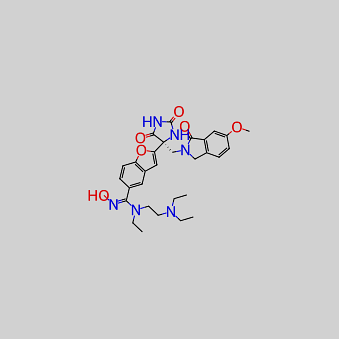 CCN(CC)CCN(CC)/C(=N/O)c1ccc2oc([C@]3(CN4Cc5ccc(OC)cc5C4=O)NC(=O)NC3=O)cc2c1